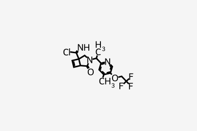 Cc1cc(C(C)N2CC3(C(=N)Cl)C=CC3C2=O)ncc1OCC(F)(F)F